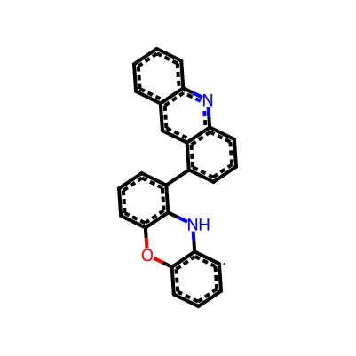 [c]1cccc2c1Nc1c(cccc1-c1cccc3nc4ccccc4cc13)O2